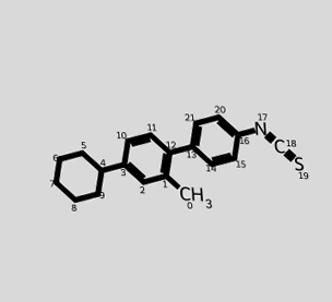 Cc1cc(C2CCCCC2)ccc1-c1ccc(N=C=S)cc1